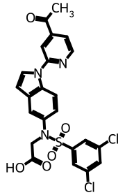 CC(=O)c1ccnc(-n2ccc3cc(N(CC(=O)O)S(=O)(=O)c4cc(Cl)cc(Cl)c4)ccc32)c1